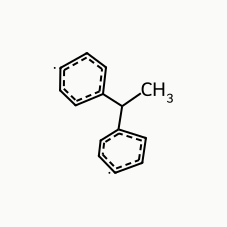 CC(c1cc[c]cc1)c1cc[c]cc1